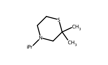 CC(C)N1CCSC(C)(C)C1